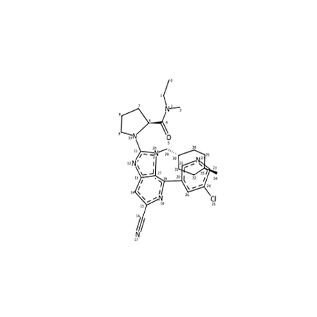 CCN(C)C(=O)[C@@H]1CCCN1c1nc2cc(C#N)nc(-c3cncc(Cl)c3)c2n1C[C@H]1CC[C@H](C)CC1